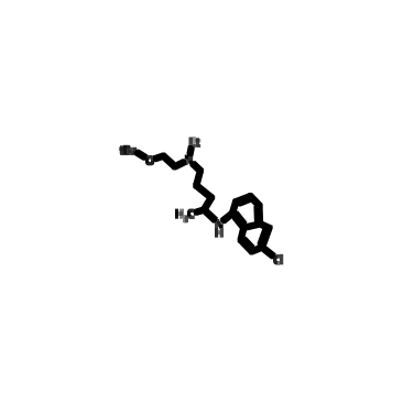 CCN(CCCC(C)Nc1cccc2cc(Cl)ccc12)CCOC(C)(C)C